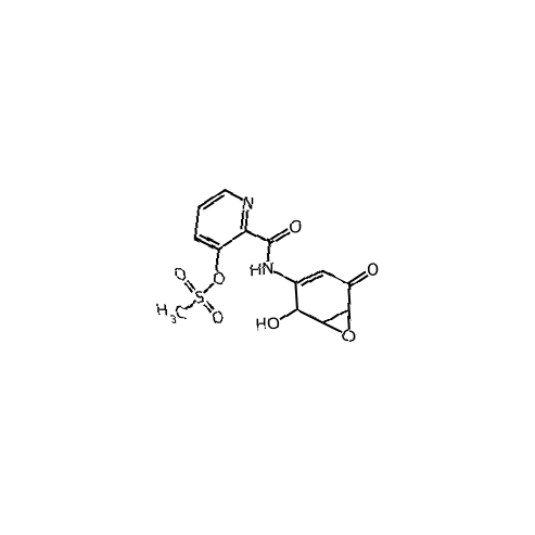 CS(=O)(=O)Oc1cccnc1C(=O)NC1=CC(=O)C2OC2C1O